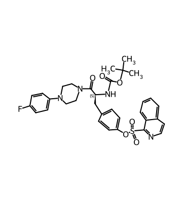 CC(C)(C)OC(=O)N[C@@H](Cc1ccc(OS(=O)(=O)c2nccc3ccccc23)cc1)C(=O)N1CCN(c2ccc(F)cc2)CC1